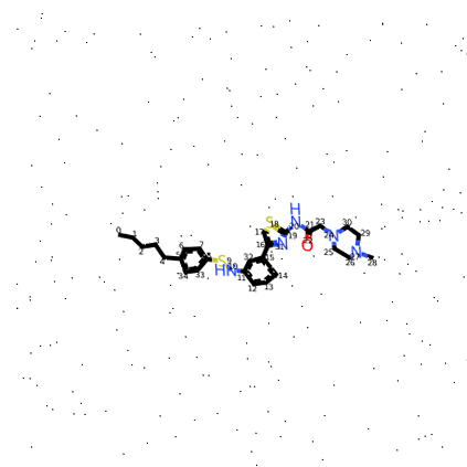 CCCCCc1ccc(SNc2cccc(-c3csc(NC(=O)CN4CCN(C)CC4)n3)c2)cc1